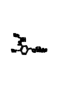 CCNSc1cc(COSC)ccc1Br